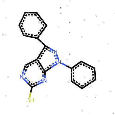 Sc1ncc2c(-c3ccccc3)nn(-c3ccccc3)c2n1